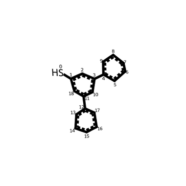 Sc1cc(-c2ccccc2)cc(-c2ccccc2)c1